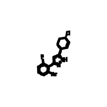 CC(=O)c1cccc(F)c1-c1cc(C2C=C[C@@H](Cl)CC2)[nH]n1